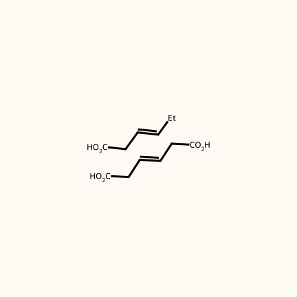 CC/C=C/CC(=O)O.O=C(O)C/C=C/CC(=O)O